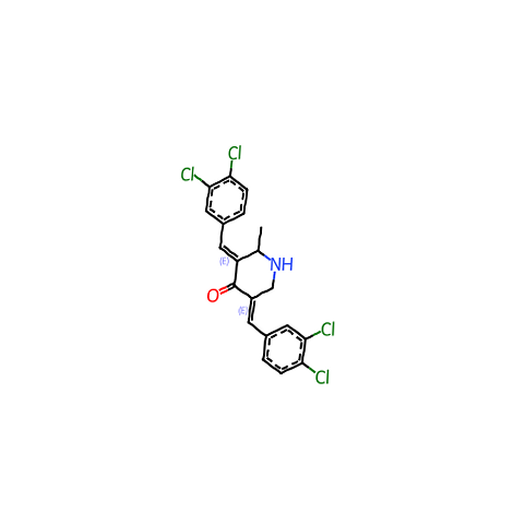 CC1NC/C(=C\c2ccc(Cl)c(Cl)c2)C(=O)/C1=C/c1ccc(Cl)c(Cl)c1